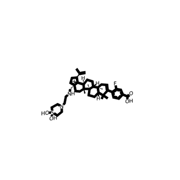 C=C(C)[C@@H]1CC[C@]2(CNCCN3CCS(O)(O)CC3)CC[C@]3(C)[C@H](CC[C@@H]4[C@@]5(C)CC=C(c6ccc(C(=O)O)cc6F)C(C)(C)[C@@H]5CC[C@]43C)[C@@H]12